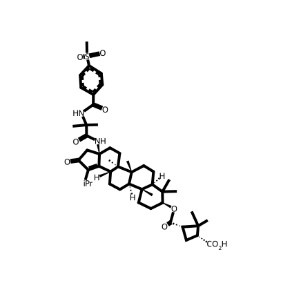 CC(C)C1=C2[C@H]3CC[C@@H]4[C@@]5(C)CC[C@H](OC(=O)[C@H]6C[C@@H](C(=O)O)C6(C)C)C(C)(C)[C@@H]5CC[C@@]4(C)[C@]3(C)CC[C@@]2(NC(=O)C(C)(C)NC(=O)c2ccc(S(C)(=O)=O)cc2)CC1=O